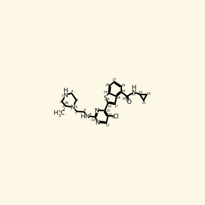 C[C@@H]1CNCCN1CCNc1ncc(Cl)c(-c2cc3c(C(=O)NC4CC4)cccc3s2)n1